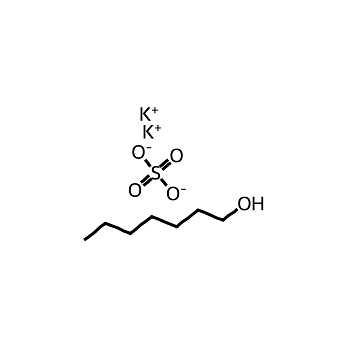 CCCCCCCO.O=S(=O)([O-])[O-].[K+].[K+]